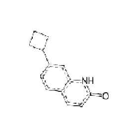 O=c1ccc2ccc(C3CCC3)cc2[nH]1